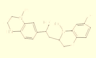 CC(C)c1ccc2c(c1)N(C(C)C)C(CC(C)c1ccc3c(c1)N(C(C)C)CCN3)CO2